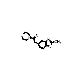 Cc1nc2cc(CC(=S)N3CCOCC3)ccc2s1